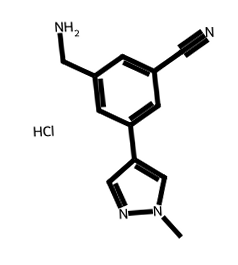 Cl.Cn1cc(-c2cc(C#N)cc(CN)c2)cn1